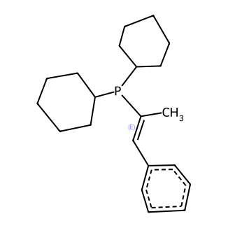 C/C(=C\c1ccccc1)P(C1CCCCC1)C1CCCCC1